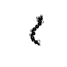 N#Cc1ccc(N2CCC3(CCN(C(=O)c4cccc(C(=O)N5CCN(C6CCN(c7ccc8c(c7)C(=O)N(C7CCC(=O)NC7=O)C8=O)CC6)CC5)c4)CC3)C2)cc1Cl